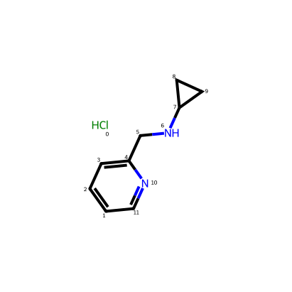 Cl.c1ccc(CNC2CC2)nc1